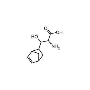 N[C@H](C(=O)O)C(O)C1CC2C=CC1C2